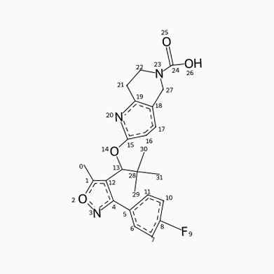 Cc1onc(-c2ccc(F)cc2)c1C(Oc1ccc2c(n1)CCN(C(=O)O)C2)C(C)(C)C